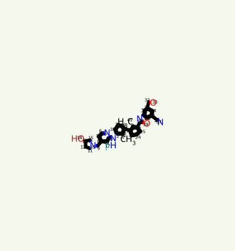 Cc1c(Nc2nccc(CN3CC[C@@H](O)C3)c2F)cccc1-c1cccc(-c2nc3cc(C=O)cc(C#N)c3o2)c1C